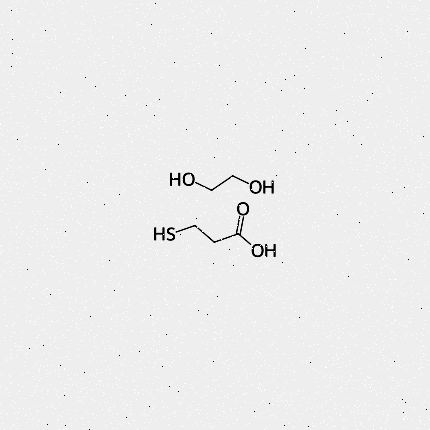 O=C(O)CCS.OCCO